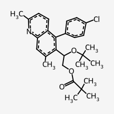 Cc1ccc2c(-c3ccc(Cl)cc3)c(C(COC(=O)C(C)(C)C)OC(C)(C)C)c(C)cc2n1